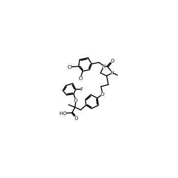 CN1C(=O)N(Cc2ccc(Cl)c(Cl)c2)CC1CCOc1ccc(CC(C)(Oc2ccccc2F)C(=O)O)cc1